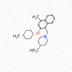 Cc1cc(O[C@H]2CC[C@@H](C)CC2)c(CN2CCC(C(=O)O)CC2)c2ccccc12